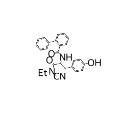 CCN(C#N)C(=O)C(Cc1ccc(O)cc1)NC(=O)c1ccccc1-c1ccccc1